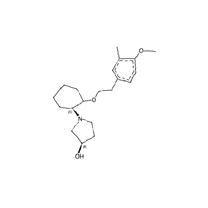 COc1ccc(CCOC2CCCC[C@@H]2N2CC[C@@H](O)C2)cc1C